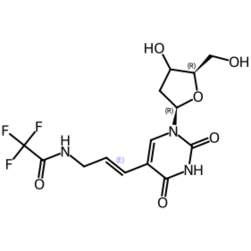 O=C(NC/C=C/c1cn([C@H]2CC(O)[C@@H](CO)O2)c(=O)[nH]c1=O)C(F)(F)F